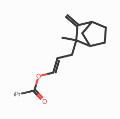 C=C1C2CCC(C2)C1(C)CC=COC(=O)C(C)C